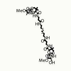 COC(=O)[C@H](C)NP1(=O)OCC(C)(C)[C@H](C(=O)NCCC(=O)NCCSSCCNC(=O)CCNC(=O)[C@@H]2OP(=O)(N[C@@H](CO)C(=O)OC)OCC2(C)C)O1